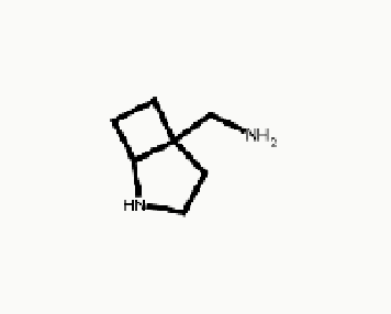 NCC12CCNC1CC2